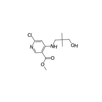 COC(=O)c1cnc(Cl)cc1NCC(C)(C)CO